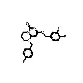 O=c1nc(OCc2ccc(F)c(F)c2)cc2n1CCCN2Cc1ccc(F)cc1